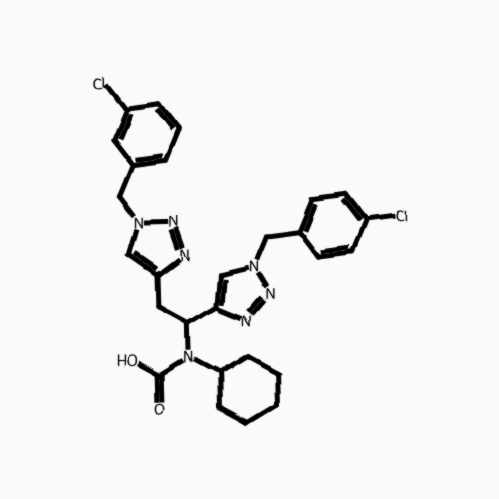 O=C(O)N(C1CCCCC1)C(Cc1cn(Cc2cccc(Cl)c2)nn1)c1cn(Cc2ccc(Cl)cc2)nn1